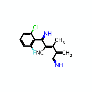 C=C(C=N)/C(C)=C(\C#N)C(=N)c1c(F)cccc1Cl